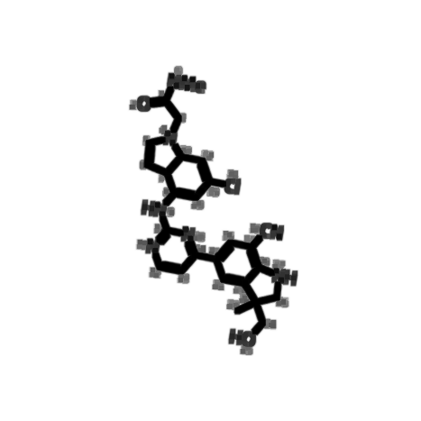 CNC(=O)CN1C=CC2C(Nc3nccc(-c4cc(C#N)c5c(c4)C(C)(CO)CN5)n3)=CC(Cl)=CC21